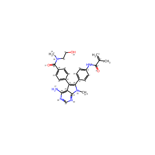 C=C(C)C(=O)Nc1ccc(-c2c(-c3ccc(C(=O)N(C)CCO)cc3)c3c(N)ncnc3n2C)cc1